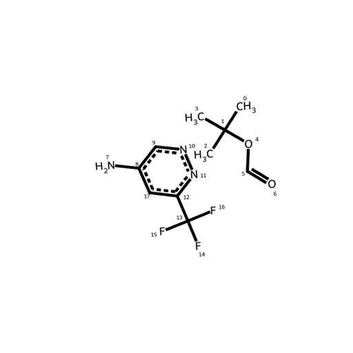 CC(C)(C)OC=O.Nc1cnnc(C(F)(F)F)c1